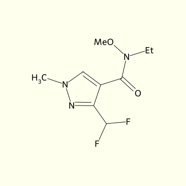 CCN(OC)C(=O)c1cn(C)nc1C(F)F